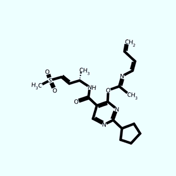 C=C/C=C\N=C(/C)Oc1nc(C2CCCC2)ncc1C(=O)N[C@@H](C)/C=C/S(C)(=O)=O